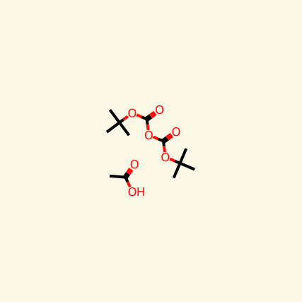 CC(=O)O.CC(C)(C)OC(=O)OC(=O)OC(C)(C)C